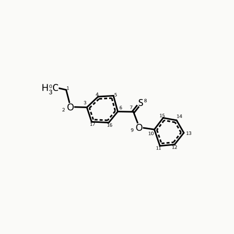 CCOc1ccc(C(=S)Oc2ccccc2)cc1